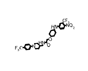 O=C(CO[C@H]1CC[C@H](Nc2ccc([N+](=O)[O-])c(C(F)(F)F)c2)CC1)NCC1CCN(c2ccc(C(F)(F)F)cc2)CC1